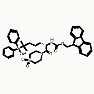 CC(C)(CCC[C@H](NC(=O)OCC1c2ccccc2-c2ccccc21)C(=O)N1CCS(=O)(=O)CC1)[Si](O)(c1ccccc1)c1ccccc1